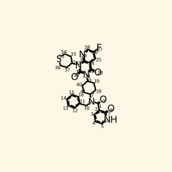 O=C(c1ccc[nH]c1=O)N(Cc1ccccc1)C1CCC(n2c(=O)c3cc(F)cnc3n(C3CCSCC3)c2=O)CC1